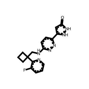 O=c1cc(-c2ccc(NCC3(c4ncccc4F)CCC3)nn2)[nH][nH]1